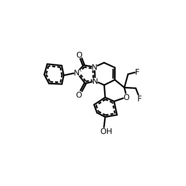 O=c1n(-c2ccccc2)c(=O)n2n1CC=C1C2c2ccc(O)cc2OC1(CF)CF